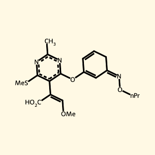 CCCON=C1C=C(Oc2nc(C)nc(SC)c2C(=COC)C(=O)O)C=CC1